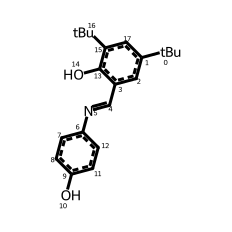 CC(C)(C)c1cc(C=Nc2ccc(O)cc2)c(O)c(C(C)(C)C)c1